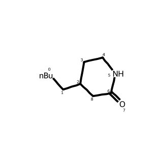 CCCCCC1CCNC(=O)C1